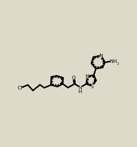 Nc1cc(-c2csc(NC(=O)Cc3cccc(CCCCCl)c3)n2)ccn1